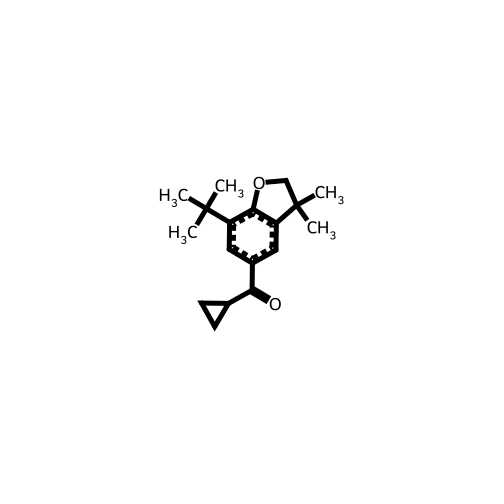 CC(C)(C)c1cc(C(=O)C2CC2)cc2c1OCC2(C)C